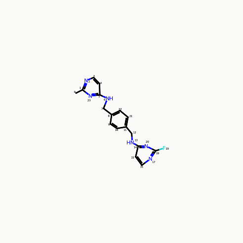 Cc1nccc(NCc2ccc(CNc3ccnc(F)n3)cc2)n1